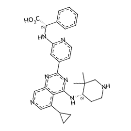 CC1(C)CNCC[C@@H]1Nc1nc(-c2ccnc(N[C@H](C(=O)O)c3ccccc3)c2)nc2cncc(C3CC3)c12